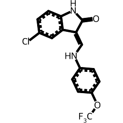 O=C1Nc2ccc(Cl)cc2C1=CNc1ccc(OC(F)(F)F)cc1